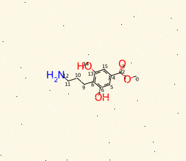 COC(=O)c1cc(O)c(CCCN)c(O)c1